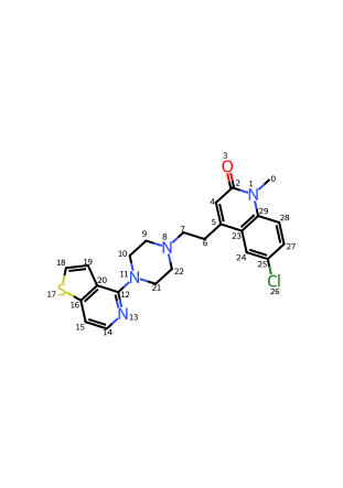 Cn1c(=O)cc(CCN2CCN(c3nccc4sccc34)CC2)c2cc(Cl)ccc21